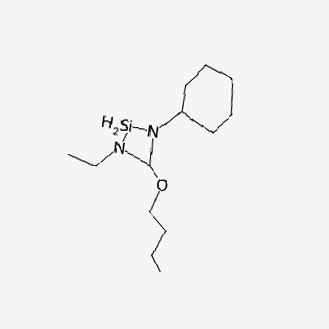 CCCCOC1N(CC)[SiH2]N1C1CCCCC1